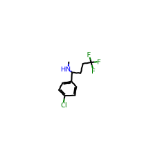 CNC(CCC(F)(F)F)c1ccc(Cl)cc1